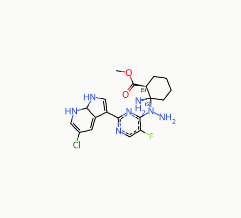 COC(=O)[C@H]1CCCC[C@]1(N)N(N)c1nc(C2=CNC3NC=C(Cl)C=C23)ncc1F